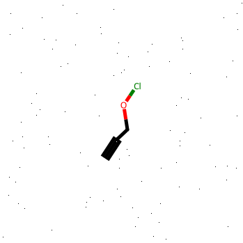 C#CCOCl